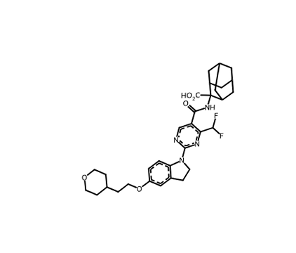 O=C(NC1(C(=O)O)C2CC3CC(C2)CC1C3)c1cnc(N2CCc3cc(OCCC4CCOCC4)ccc32)nc1C(F)F